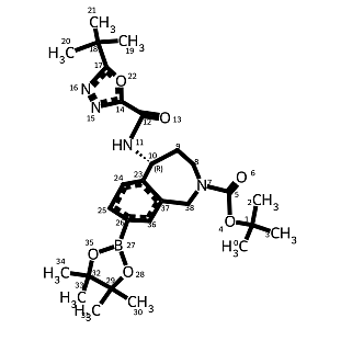 CC(C)(C)OC(=O)N1CC[C@@H](NC(=O)c2nnc(C(C)(C)C)o2)c2ccc(B3OC(C)(C)C(C)(C)O3)cc2C1